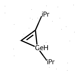 CC(C)[C]1=[CH][GeH]1[CH](C)C